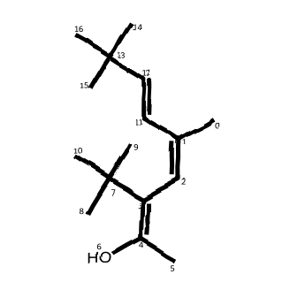 CC(=C/C(=C(\C)O)C(C)(C)C)/C=C/C(C)(C)C